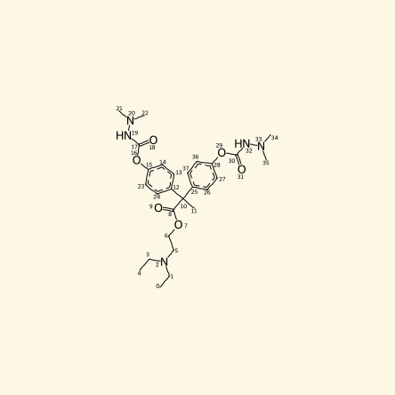 CCN(CC)CCOC(=O)C(C)(c1ccc(OC(=O)NN(C)C)cc1)c1ccc(OC(=O)NN(C)C)cc1